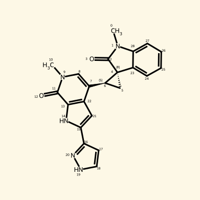 CN1C(=O)[C@@]2(C[C@H]2c2cn(C)c(=O)c3[nH]c(-c4cc[nH]n4)cc23)c2ccccc21